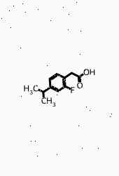 CC(C)c1ccc(CC(=O)O)c(F)c1